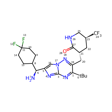 CC(C)(C)c1nc2nc([C@@H](N)C3CCC(F)(F)CC3)cn2nc1C[C@H]1C[C@H](C(F)(F)F)CNC1=O